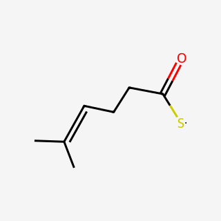 CC(C)=CCCC(=O)[S]